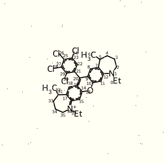 CCN1CCCC(C)c2cc3c(cc21)Oc1cc2c(cc1=C3c1cc(Cl)c(Cl)c(Cl)c1Cl)C(C)CCC[N+]=2CC